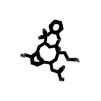 COCC1CC(CC(=O)O)c2ccc(C)c(c2)CN2C[C@@H]1Oc1ccccc1S2(=O)=O